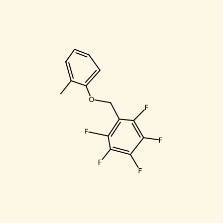 Cc1ccccc1OCc1c(F)c(F)c(F)c(F)c1F